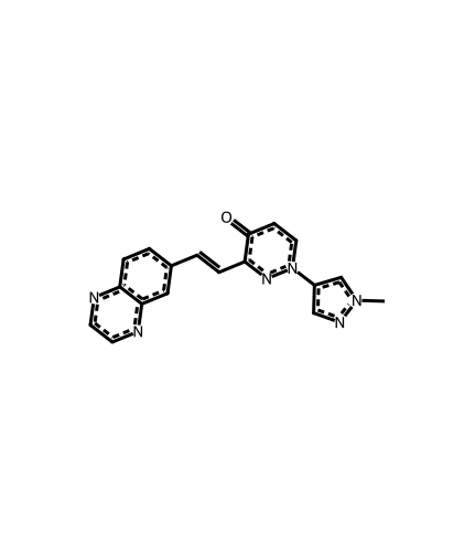 Cn1cc(-n2ccc(=O)c(C=Cc3ccc4nccnc4c3)n2)cn1